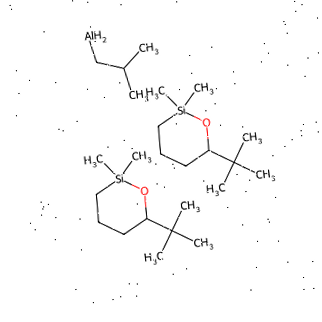 CC(C)(C)C1CCC[Si](C)(C)O1.CC(C)(C)C1CCC[Si](C)(C)O1.CC(C)[CH2][AlH2]